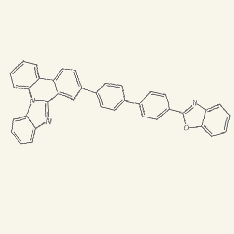 c1ccc2oc(-c3ccc(-c4ccc(-c5ccc6c7ccccc7n7c8ccccc8nc7c6c5)cc4)cc3)nc2c1